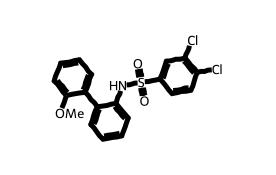 COc1ccccc1-c1ccccc1NS(=O)(=O)c1ccc(Cl)c(Cl)c1